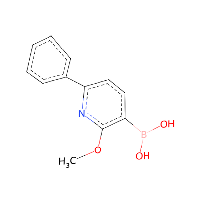 COc1nc(-c2ccccc2)ccc1B(O)O